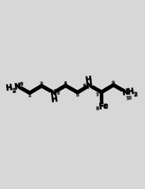 NCCNCCN[CH]([Fe])CN